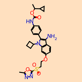 Cc1nnc(S(=O)(=O)CCOc2ccc3c(N)c(-c4ccc(NC(=O)OC(C)C5CC5)cc4)n(C4CCC4)c3c2)o1